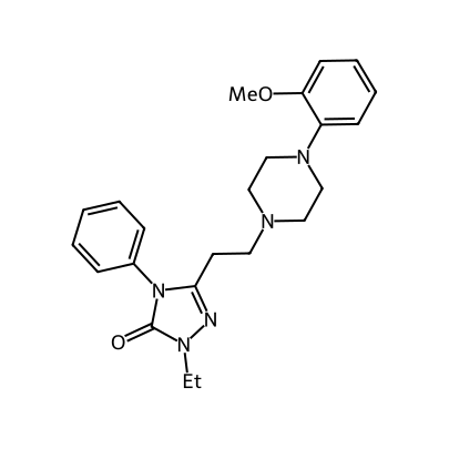 CCn1nc(CCN2CCN(c3ccccc3OC)CC2)n(-c2ccccc2)c1=O